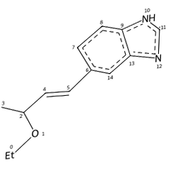 CCOC(C)C=Cc1ccc2[nH][c]nc2c1